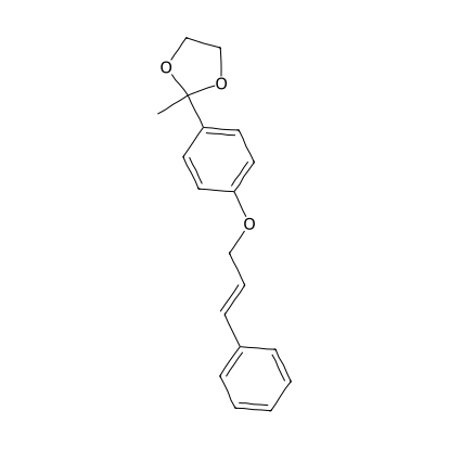 CC1(c2ccc(OC/C=C/c3ccccc3)cc2)OCCO1